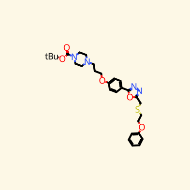 CC(C)(C)OC(=O)N1CCN(CCCOc2ccc(-c3nnc(CSCCOc4ccccc4)o3)cc2)CC1